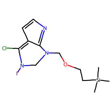 C[Si](C)(C)CCOCN1CN(I)C(Cl)=C2C=CN=C21